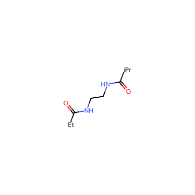 CCC(=O)NCCNC(=O)C(C)C